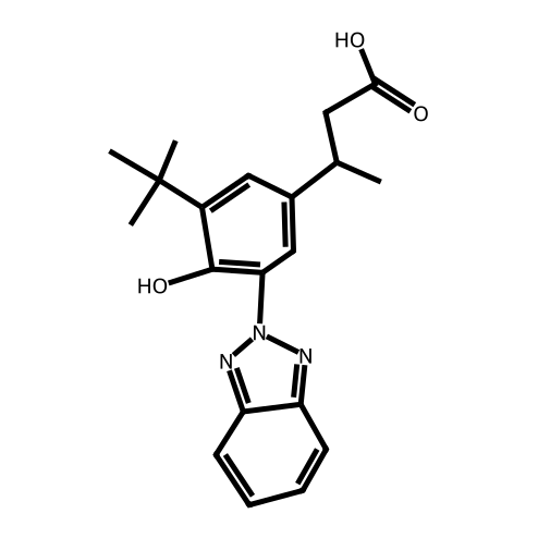 CC(CC(=O)O)c1cc(-n2nc3ccccc3n2)c(O)c(C(C)(C)C)c1